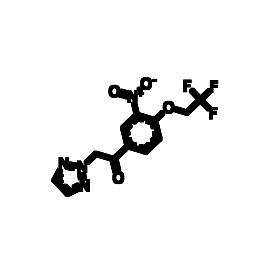 O=C(Cn1nccn1)c1ccc(OCC(F)(F)F)c([N+](=O)[O-])c1